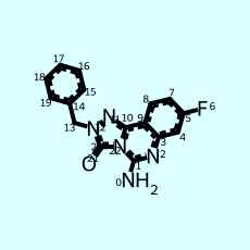 Nc1nc2cc(F)ccc2c2nn(Cc3ccccc3)c(=O)n12